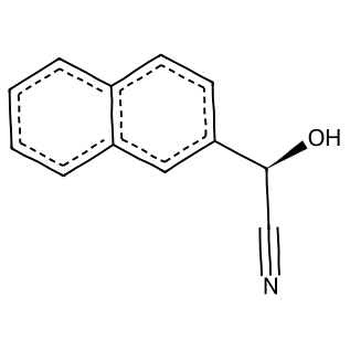 N#C[C@H](O)c1ccc2ccccc2c1